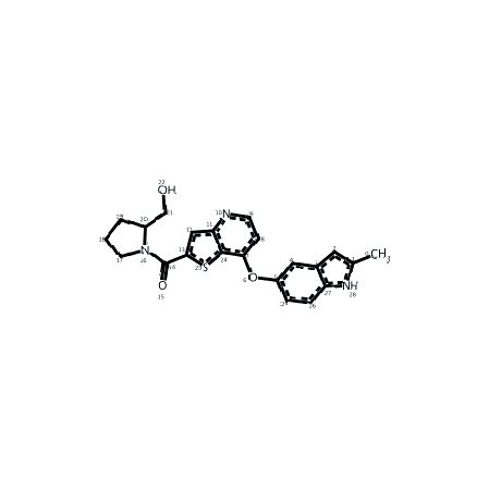 Cc1cc2cc(Oc3ccnc4cc(C(=O)N5CCCC5CO)sc34)ccc2[nH]1